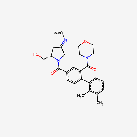 CO/N=C1\C[C@@H](CO)N(C(=O)c2ccc(-c3cccc(C)c3C)c(C(=O)N3CCOCC3)c2)C1